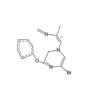 C=N/C(C)=C\N1C=C(Br)N=C(Oc2ccccc2)C1